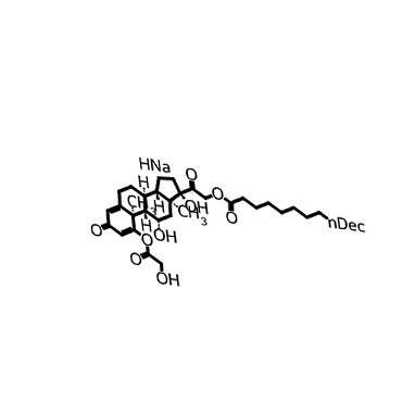 CCCCCCCCCCCCCCCCCC(=O)OCC(=O)[C@@]1(O)CC[C@H]2[C@@H]3CCC4=CC(=O)C=C(OC(=O)CO)[C@]4(C)[C@H]3[C@@H](O)C[C@@]21C.[NaH]